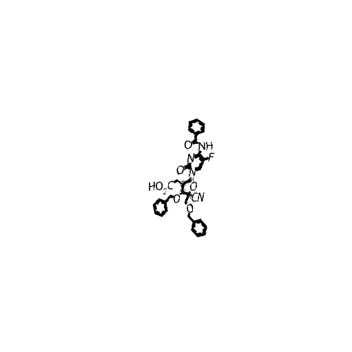 N#C[C@]1(COCc2ccccc2)O[C@@H](n2cc(F)c(NC(=O)c3ccccc3)nc2=O)[C@H](CC(=O)O)[C@@H]1OCc1ccccc1